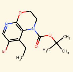 CCc1c(Br)cnc2c1N(C(=O)OC(C)(C)C)CCO2